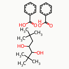 CC(C)(C)CC(O)C(O)C(C)(C)C.O=C(O)c1ccccc1.O=C(O)c1ccccc1